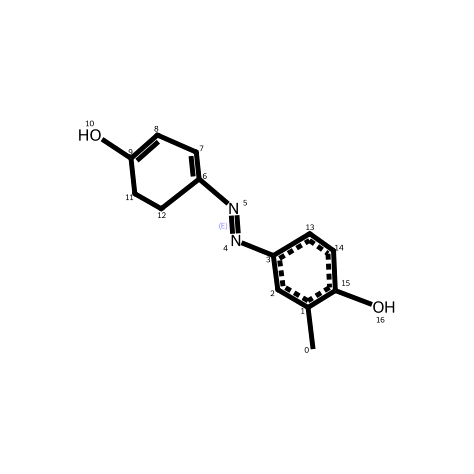 Cc1cc(/N=N/C2=CC=C(O)CC2)ccc1O